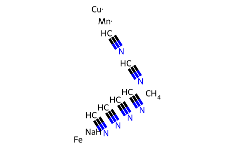 C.C#N.C#N.C#N.C#N.C#N.C#N.[Cu].[Fe].[Mn].[NaH]